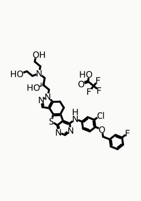 O=C(O)C(F)(F)F.OCCN(CCO)C[C@@H](O)Cn1ncc2c1CCc1c-2sc2ncnc(Nc3ccc(OCc4cccc(F)c4)c(Cl)c3)c12